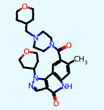 Cc1cc2[nH]c(=O)c3cnn(C4CCOCC4)c3c2cc1C(=O)N1CCN(CC2CCOCC2)CC1